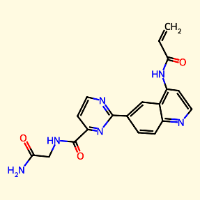 C=CC(=O)Nc1ccnc2ccc(-c3nccc(C(=O)NCC(N)=O)n3)cc12